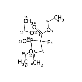 C=CCC(F)(C(=O)OCC)P(=O)(OCC)OCC